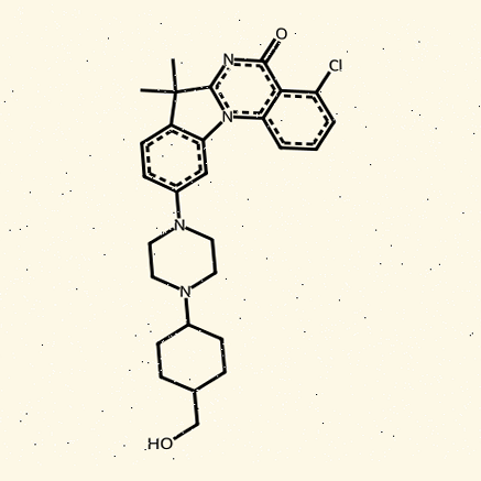 CC1(C)c2ccc(N3CCN(C4CCC(CO)CC4)CC3)cc2-n2c1nc(=O)c1c(Cl)cccc12